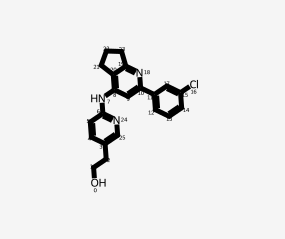 OCCc1ccc(Nc2cc(-c3cccc(Cl)c3)nc3c2CCC3)nc1